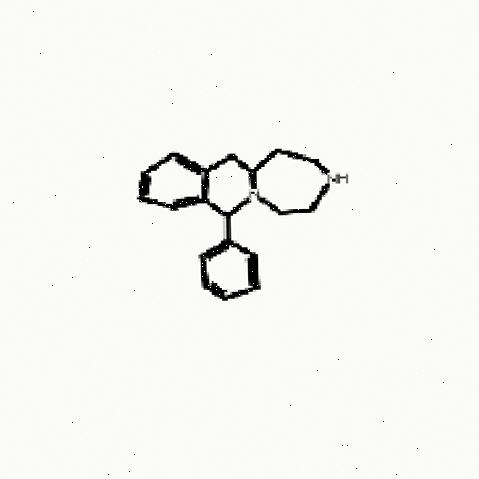 c1ccc(C2c3ccccc3CC3CCNCCN32)cc1